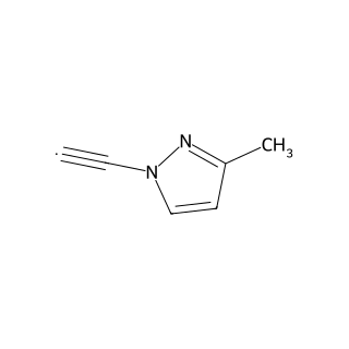 [C]#Cn1ccc(C)n1